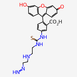 N=NCCNCCNC(=S)Nc1ccc(-c2c3ccc(=O)cc-3oc3cc(O)ccc23)c(C(=O)O)c1